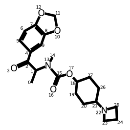 CC(C(=O)c1ccc2c(c1)OCO2)N(C)C(=O)OC1CCC(N2CCC2)CC1